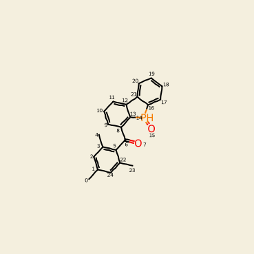 Cc1cc(C)c(C(=O)c2cccc3c2[PH](=O)c2ccccc2-3)c(C)c1